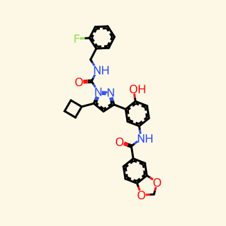 O=C(Nc1ccc(O)c(-c2cc(C3CCC3)n(C(=O)NCc3ccccc3F)n2)c1)c1ccc2c(c1)OCO2